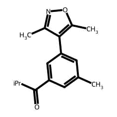 Cc1cc(C(=O)C(C)C)cc(-c2c(C)noc2C)c1